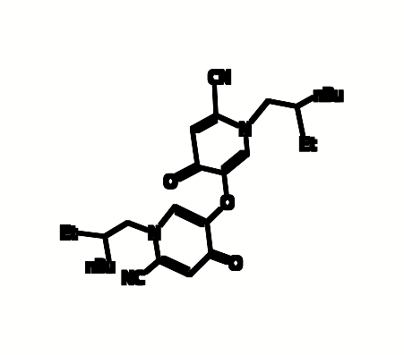 CCCCC(CC)Cn1cc(Oc2cn(CC(CC)CCCC)c(C#N)cc2=O)c(=O)cc1C#N